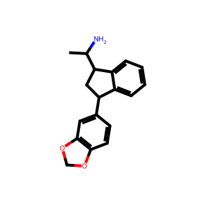 CC(N)C1CC(c2ccc3c(c2)OCO3)c2ccccc21